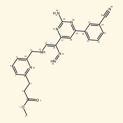 COC(=O)CCc1cccc(CN/C=C(\N=N)c2cc(-c3cccc(C#N)c3)nc(N)n2)n1